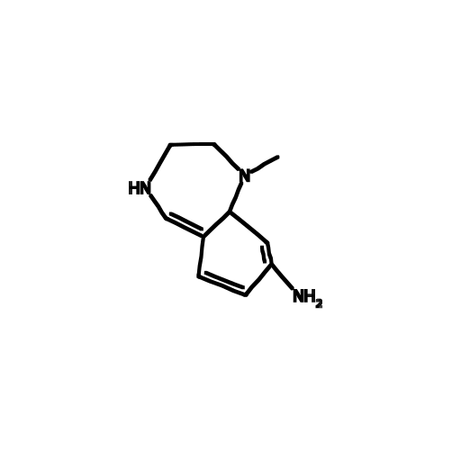 CN1CCNC=C2C=CC(N)=CC21